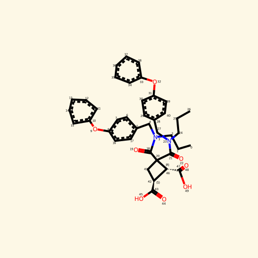 CCCN(Cc1ccc(Oc2ccccc2)cc1)C(=O)C1(C(=O)N(CCC)Cc2ccc(Oc3ccccc3)cc2)C[C@H](C(=O)O)[C@H]1C(=O)O